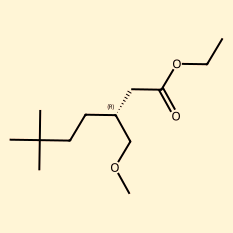 CCOC(=O)C[C@@H](CCC(C)(C)C)COC